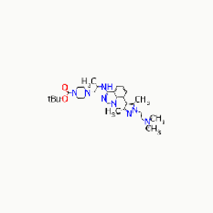 Cc1nn(CCN(C)C)c(C)c1-c1cccc2c(NC(C)CN3CCN(C(=O)OC(C)(C)C)CC3)ncnc12